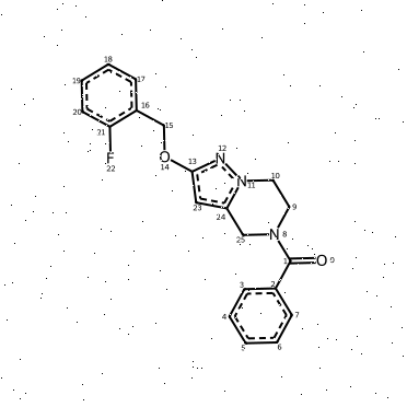 O=C(c1ccccc1)N1CCn2nc(OCc3ccccc3F)cc2C1